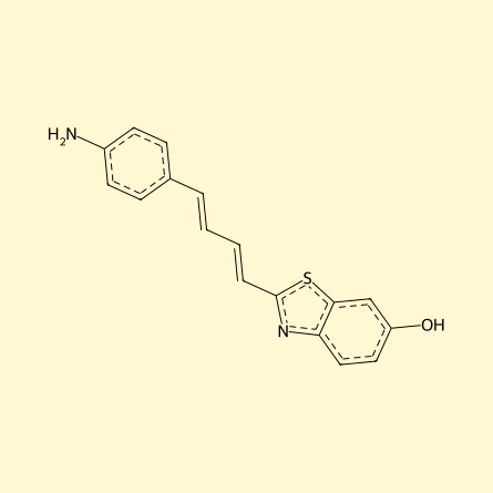 Nc1ccc(C=CC=Cc2nc3ccc(O)cc3s2)cc1